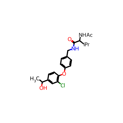 CC(=O)NC(C(=O)NCc1ccc(Oc2ccc(C(C)O)cc2Cl)cc1)C(C)C